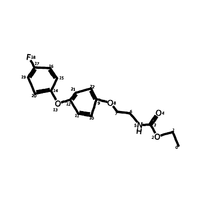 CCOC(=O)NCCOc1ccc(Oc2ccc(F)cc2)cc1